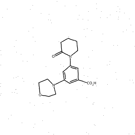 O=C(O)c1cc(N2CCOCC2)cc(N2CCCCC2=O)c1